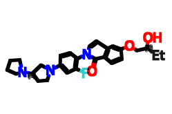 CC[C@H](O)COc1ccc2c(=O)n(-c3ccc(N4CC[C@@H](N5CCCC5)C4)cc3F)ccc2c1